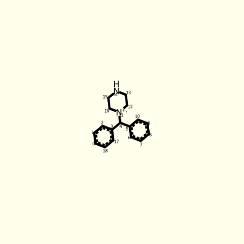 c1ccc(C(c2ccccc2)[N+]2CCNCC2)cc1